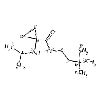 CC(C)NC1(C(=O)NCCC(C)(C)C)CC1